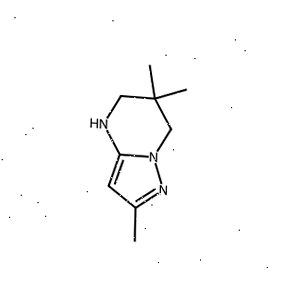 Cc1cc2n(n1)CC(C)(C)CN2